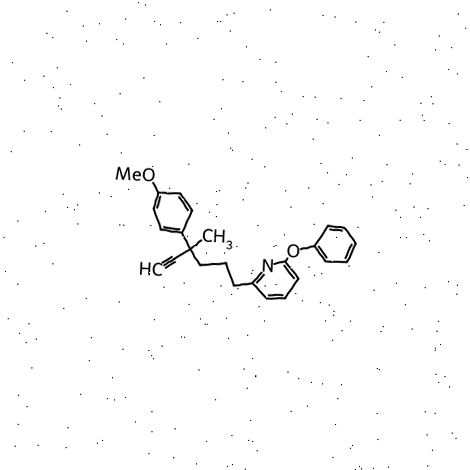 C#CC(C)(CCCc1cccc(Oc2ccccc2)n1)c1ccc(OC)cc1